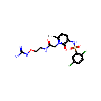 Cc1ccc(NS(=O)(=O)c2cc(Cl)ccc2Cl)c(=O)n1CC(=O)NCCONC(=N)N